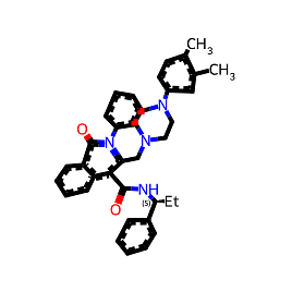 CC[C@H](NC(=O)c1c(CN2CCN(c3ccc(C)c(C)c3)CC2)n(-c2ccccc2)c(=O)c2ccccc12)c1ccccc1